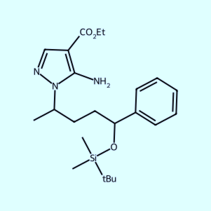 CCOC(=O)c1cnn(C(C)CCC(O[Si](C)(C)C(C)(C)C)c2ccccc2)c1N